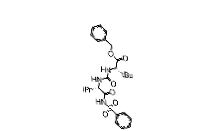 CC(C)[C@H](NC(=O)N[C@H](C(=O)OCc1ccccc1)C(C)(C)C)C(=O)NS(=O)(=O)c1ccccc1